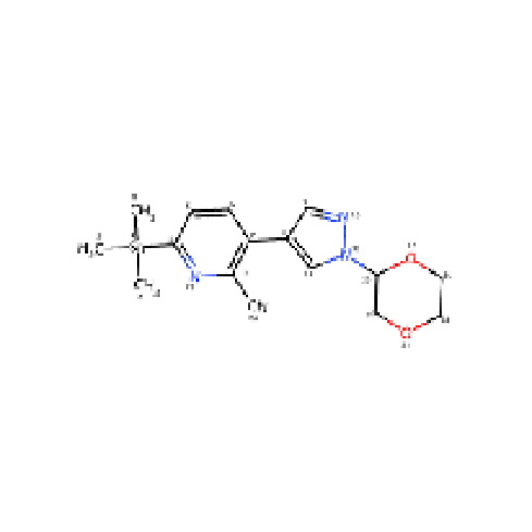 [CH3][Sn]([CH3])([CH3])[c]1ccc(-c2cnn(C3COCCO3)c2)c(C#N)n1